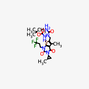 Cc1c(CN(NC(=O)OC(C)(C)C)C(N)=O)sc2c1c(=O)n([C@H]1C[C@@H]1C)c(=O)n2CCC(F)(F)F